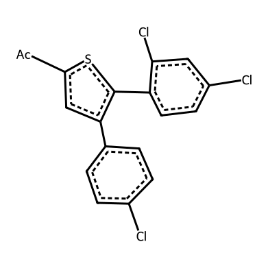 CC(=O)c1cc(-c2ccc(Cl)cc2)c(-c2ccc(Cl)cc2Cl)s1